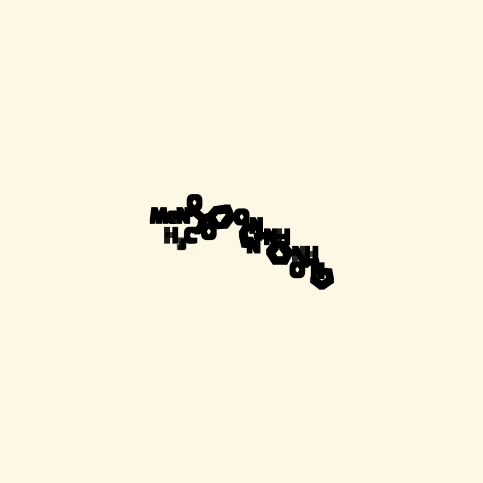 CNC(=O)c1c(C)oc2cc(Oc3ccnc(Nc4cccc(NC(=O)CN5CCCC5)c4)n3)ccc12